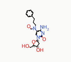 Nc1nc(=O)n([C@H]2C[C@H](O)[C@@H](CO)O2)cc1N(C=O)CCCc1ccccc1